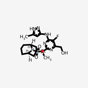 CCS(=O)(=O)N1[C@@H]2CCC[C@H]1C[C@H](N(C)c1nc(CO)c(F)c(Nc3cc(C)[nH]n3)n1)C2